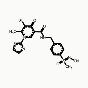 Cc1c(Br)c(=O)c(C(=O)NCc2ccc(S(C)(=O)=NC#N)cc2)cn1-c1nccs1